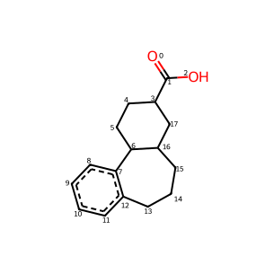 O=C(O)C1CCC2c3ccccc3CCCC2C1